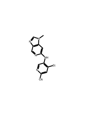 CCc1cc(C#N)ncc1Nc1cc2c(cn1)ncn2C